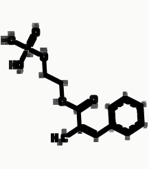 CC(=Cc1ccccc1)C(=O)OCCOP(=O)(O)O